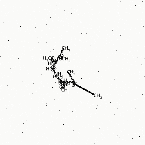 CC#CC#CC#CC#CC#CC#CC(=O)O[C@H](CCCCCCC)CCOC[C@H](COP(=O)(O)OCCNC(=O)NCCOP(=O)(O)OC[C@@H](COCC[C@@H](CCCCCCC)OC(C)=O)NC(=O)CC(C)=O)NC(=O)CC(C)=O